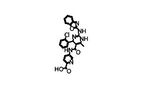 CC1=C(C(=O)Nc2ccc(C(=O)O)nc2)C(c2ccccc2Cl)N=C(Nc2nc3ccccc3o2)N1